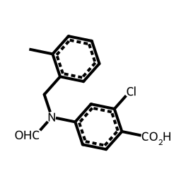 Cc1ccccc1CN(C=O)c1ccc(C(=O)O)c(Cl)c1